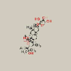 CC(=O)O[C@@H](C1C[C@@H](C)[C@H]2[C@@](O)(O1)[C@H](O)[C@@]1(C)C3CC[C@H]4C(C)(C)[C@@H](O[C@@H]5OCC(O)[C@H](O)[C@H]5O)CC[C@@]45C[C@@]35CC[C@]21C)C(C)(C)O